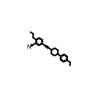 CCCc1ccc(C#CC2CCC(c3ccc(CC)cc3)CC2)cc1C#N